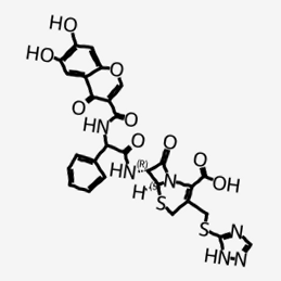 O=C(O)C1=C(CSc2ncn[nH]2)CS[C@H]2[C@H](NC(=O)C(NC(=O)c3coc4cc(O)c(O)cc4c3=O)c3ccccc3)C(=O)N12